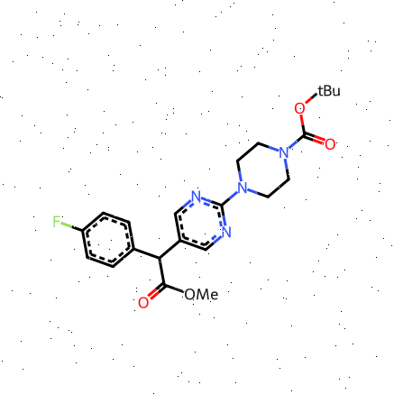 COC(=O)C(c1ccc(F)cc1)c1cnc(N2CCN(C(=O)OC(C)(C)C)CC2)nc1